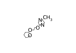 CC1CN=C(OCCOC2CCCCO2)C=N1